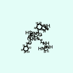 O=C(NC(CCCCNC1NCCN1)(NC(=O)c1cccc2[nH]ncc12)C(=O)O)OCc1ccccc1